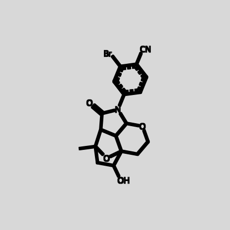 CC12CC(O)C3(CCOC4C3C1C(=O)N4c1ccc(C#N)c(Br)c1)O2